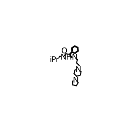 CC(C)CNC(=O)c1cn(CCCN2CCC(N3CCCC3)CC2)c2ccccc12